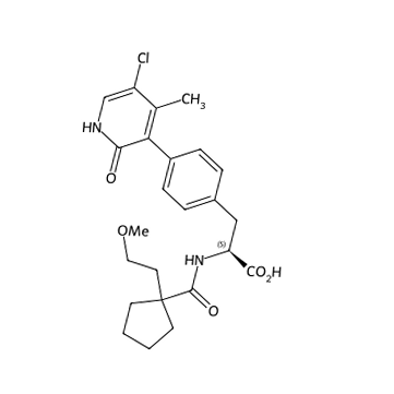 COCCC1(C(=O)N[C@@H](Cc2ccc(-c3c(C)c(Cl)c[nH]c3=O)cc2)C(=O)O)CCCC1